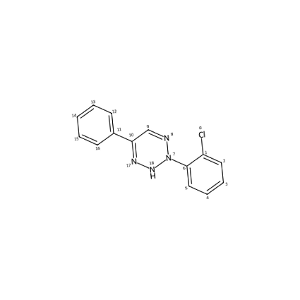 Clc1ccccc1N1N=CC(c2ccccc2)=NN1